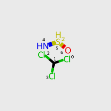 ClC(Cl)Cl.N=[SH2]=O